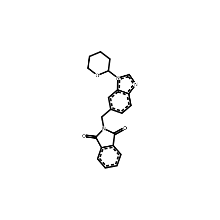 O=C1c2ccccc2C(=O)N1Cc1ccc2ncn(C3CCCCO3)c2c1